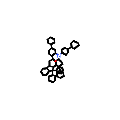 c1ccc(-c2ccc(N(c3ccc(-c4ccccc4)cc3)c3cc(-c4ccccc4)ccc3-c3ccc4c(c3)-c3ccccc3C43c4ccccc4-c4ccccc43)cc2)cc1